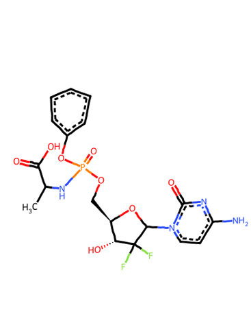 CC(NP(=O)(OC[C@H]1OC(n2ccc(N)nc2=O)C(F)(F)[C@@H]1O)Oc1ccccc1)C(=O)O